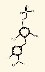 C=P(O)(O)COc1cc(C)c(Cc2ccc(O)c(N(C)C)c2)c(C)c1